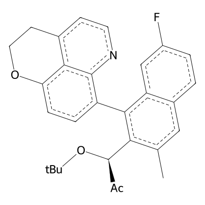 CC(=O)[C@@H](OC(C)(C)C)c1c(C)cc2ccc(F)cc2c1-c1ccc2c3c(ccnc13)CCO2